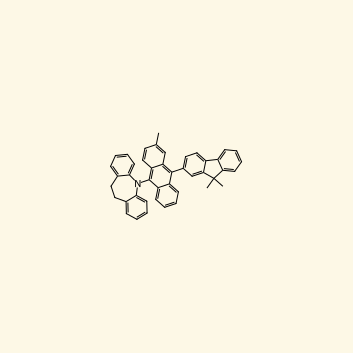 Cc1ccc2c(N3c4ccccc4CCc4ccccc43)c3ccccc3c(-c3ccc4c(c3)C(C)(C)c3ccccc3-4)c2c1